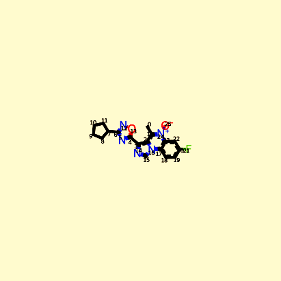 Cc1c2c(-c3nc(C4CCCC4)no3)ncn2c2ccc(F)cc2[n+]1[O-]